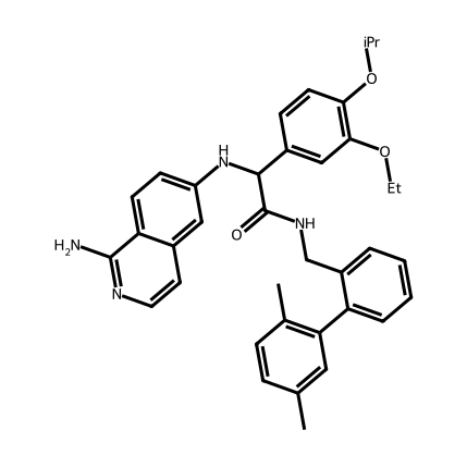 CCOc1cc(C(Nc2ccc3c(N)nccc3c2)C(=O)NCc2ccccc2-c2cc(C)ccc2C)ccc1OC(C)C